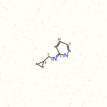 C1=C[N]C(=NCC2CC2)C=C1